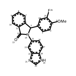 COc1ccc(C2c3ccccc3C(=O)N2c2ccc3[nH]cnc3c2)cc1F